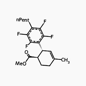 CCCCCc1c(F)c(F)c([C@@H]2C=C(C)CC[C@H]2C(=O)OC)c(F)c1F